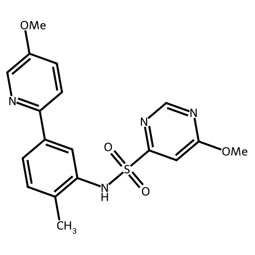 COc1ccc(-c2ccc(C)c(NS(=O)(=O)c3cc(OC)ncn3)c2)nc1